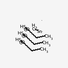 CCCCCCCC/C=C\CCCCCCCCOC(=O)CS.CCCCCCCC/C=C\CCCCCCCCOC(=O)CS.CCCCCCCC/C=C\CCCCCCCCOC(=O)CS.CCC[CH2][Sn]